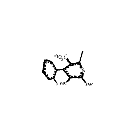 CCOC(=O)c1c(C)nc(SC)c(C#N)c1-c1ccccc1F